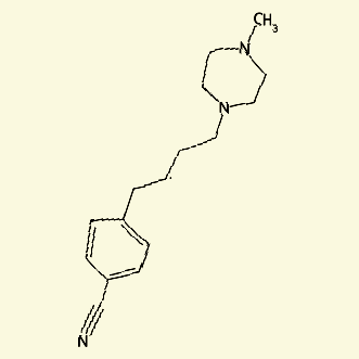 CN1CCN(CC[CH]Cc2ccc(C#N)cc2)CC1